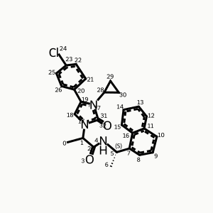 CC(C(=O)N[C@@H](C)c1cccc2ccccc12)n1cc(-c2ccc(Cl)cc2)n(C2CC2)c1=O